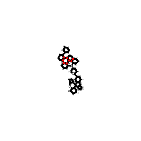 c1ccc(-c2ccccc2-c2ccccc2-c2ccccc2N(c2ccc(-c3ccc4c(c3)C3(c5ccccc5Oc5ccccc53)c3ccccc3-4)cc2)c2ccccc2-c2ccccc2)cc1